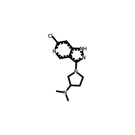 CN(C)C1CCN(c2n[nH]c3cc(Cl)ncc23)C1